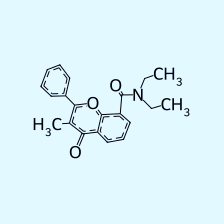 CCN(CC)C(=O)c1cccc2c(=O)c(C)c(-c3ccccc3)oc12